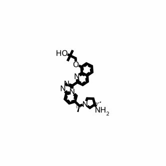 C[C@@H](c1ccc2nnc(-c3ccc4cccc(OCC(C)(C)O)c4n3)n2c1)N1CC[C@@](C)(N)C1